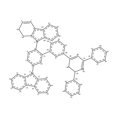 C1=Cc2c(n(-c3ccc(-n4c5ccccc5c5ccccc54)cc3-c3cccc(C4=CC(c5ccccc5)=NC(c5ccccc5)C4)c3)c3ccccc23)CC1